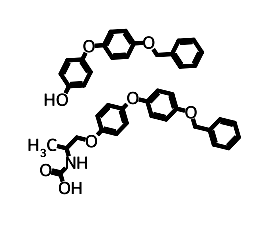 CC(COc1ccc(Oc2ccc(OCc3ccccc3)cc2)cc1)NC(=O)O.Oc1ccc(Oc2ccc(OCc3ccccc3)cc2)cc1